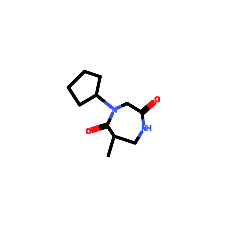 CC1CNC(=O)CN(C2CCCC2)C1=O